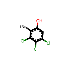 CC(C)(C)c1c(O)cc(Cl)c(Cl)c1Cl